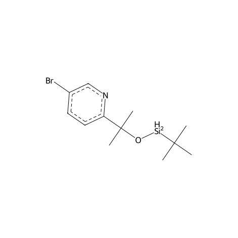 CC(C)(C)[SiH2]OC(C)(C)c1ccc(Br)cn1